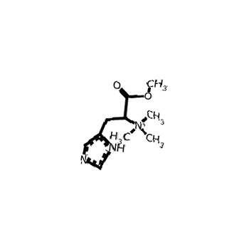 COC(=O)C(Cc1cnc[nH]1)[N+](C)(C)C